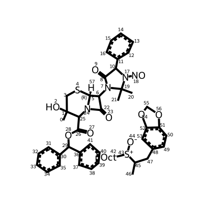 CC1(O)CS[C@@H]2C(N3C(=O)C(c4ccccc4)N(N=O)C3(C)C)C(=O)N2C1C(=O)OC(c1ccccc1)c1ccccc1.CCCCCCCC[S+]([O-])C(C)Cc1ccc2c(c1)OCO2